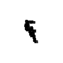 CCOCCOc1ncc2cc(C(=O)Nc3cc(C(=O)OC)ccc3Cl)c(=O)[nH]c2n1